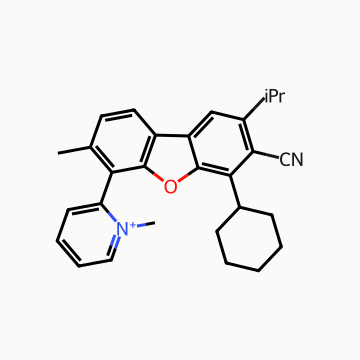 Cc1ccc2c(oc3c(C4CCCCC4)c(C#N)c(C(C)C)cc32)c1-c1cccc[n+]1C